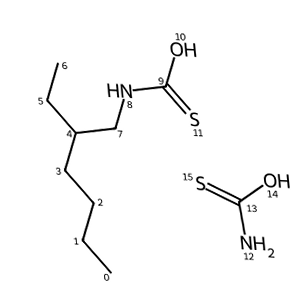 CCCCC(CC)CNC(O)=S.NC(O)=S